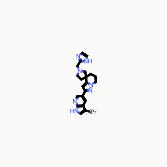 CC(C)c1c[nH]c2ncc(-c3cc4n(n3)CCCC43CCN(Cc4ncc[nH]4)C3)cc12